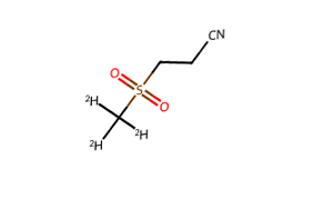 [2H]C([2H])([2H])S(=O)(=O)CCC#N